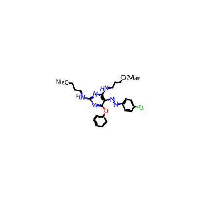 COCCCNc1nc(NCCCOC)c(N=Nc2ccc(Cl)cc2)c(Oc2ccccc2)n1